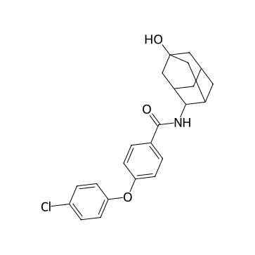 O=C(NC1C2CC3CC1CC(O)(C3)C2)c1ccc(Oc2ccc(Cl)cc2)cc1